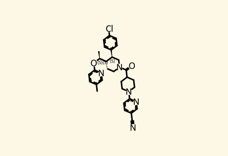 Cc1ccc(O[C@@H](C)[C@H]2CCN(C(=O)C3CCN(c4ccc(C#N)cn4)CC3)C[C@@H]2c2ccc(Cl)cc2)nc1